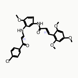 COc1cc(OC)c(/C=C/C(=O)Nc2ccc(OC)c(N/C=C/C(=O)c3ccc(Cl)cc3)c2)c(OC)c1